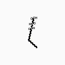 CCCCCCCC/C=C\CCCCCCCC(=O)NCCNC(=O)CCC(=O)O